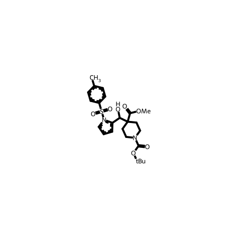 COC(=O)C1(C(O)c2cccn2S(=O)(=O)c2ccc(C)cc2)CCN(C(=O)OC(C)(C)C)CC1